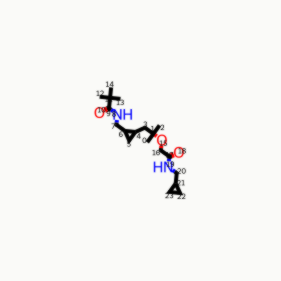 CC(C)(CC1CC1CNC(=O)C(C)(C)C)OCC(=O)NCC1CC1